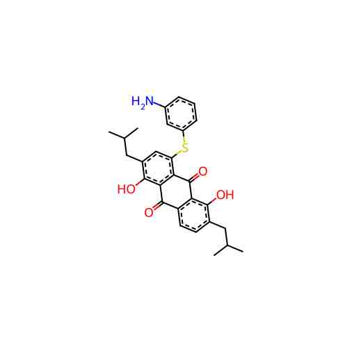 CC(C)Cc1ccc2c(c1O)C(=O)c1c(Sc3cccc(N)c3)cc(CC(C)C)c(O)c1C2=O